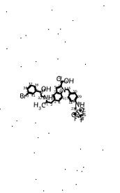 CC(Cc1ccc2c(c1)cc(C(=O)O)n2Cc1ccc(NCS(=O)(=O)C(F)(F)F)cc1)NCC(O)c1cccc(Br)c1